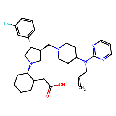 C=CCN(c1ncccn1)C1CCN(C[C@H]2CN([C@@H]3CCCCC3CC(=O)O)C[C@@H]2c2cccc(F)c2)CC1